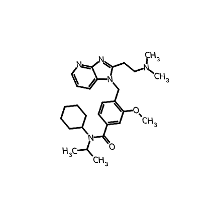 COc1cc(C(=O)N(C(C)C)C2CCCCC2)ccc1Cn1c(CCN(C)C)nc2ncccc21